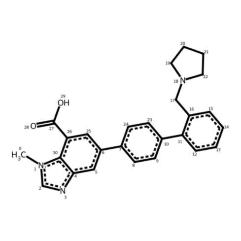 Cn1cnc2cc(-c3ccc(-c4ccccc4CN4CCCC4)cc3)cc(C(=O)O)c21